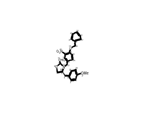 COc1ccc(C[C@H]2COC(C=O)N2Cc2ccc(OCc3ccccc3)c([N+](=O)[O-])c2)cc1